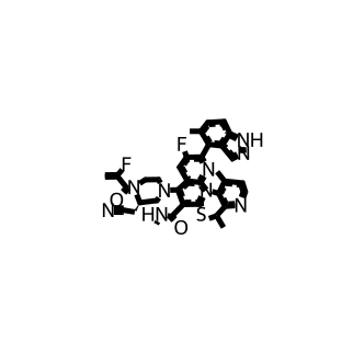 C=C(F)C(=O)N1CCN(c2c(C(=O)NC)c(=S)n(-c3c(C)ccnc3C(C)C)c3nc(-c4c(C)ccc5[nH]ncc45)c(F)cc23)C[C@@H]1CC#N